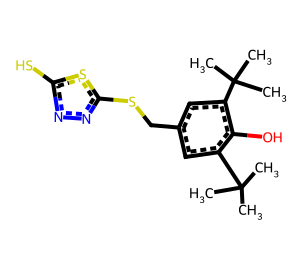 CC(C)(C)c1cc(CSc2nnc(S)s2)cc(C(C)(C)C)c1O